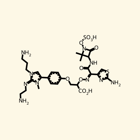 Cn1c(-c2ccc(OCC(O/N=C(\C(=O)NC3C(=O)N(OS(=O)(=O)O)C3(C)C)c3csc(N)n3)C(=O)O)cc2)cn(CCCN)/c1=N/CCN